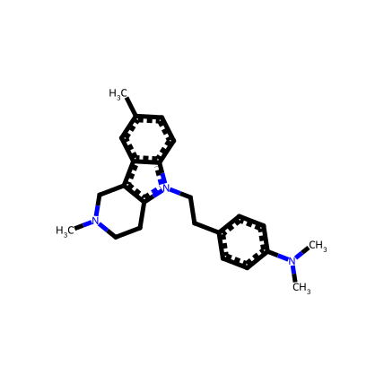 Cc1ccc2c(c1)c1c(n2CCc2ccc(N(C)C)cc2)CCN(C)C1